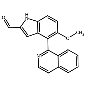 COc1ccc2[nH]c(C=O)cc2c1-c1nccc2ccccc12